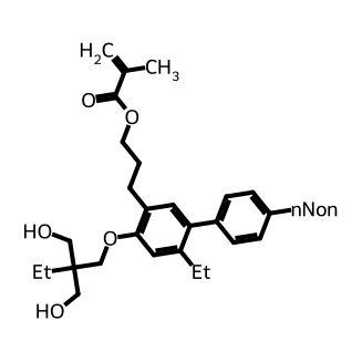 C=C(C)C(=O)OCCCc1cc(-c2ccc(CCCCCCCCC)cc2)c(CC)cc1OCC(CC)(CO)CO